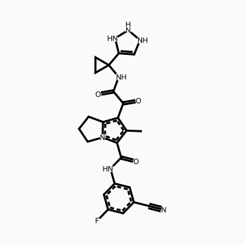 Cc1c(C(=O)C(=O)NC2(C3=CNNN3)CC2)c2n(c1C(=O)Nc1cc(F)cc(C#N)c1)CCC2